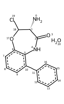 N[C@@H]1C(=O)Nc2c(cccc2-c2ccccc2)OC1Cl.O